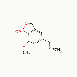 C=CCc1cc2c(c(OC)c1)C(=O)OC2